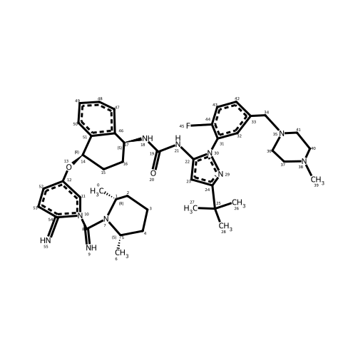 C[C@@H]1CCC[C@H](C)N1C(=N)n1cc(O[C@@H]2CC[C@H](NC(=O)Nc3cc(C(C)(C)C)nn3-c3cc(CN4CCN(C)CC4)ccc3F)c3ccccc32)ccc1=N